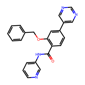 O=C(Nc1cccnc1)c1ccc(-c2cncnc2)cc1OCc1ccccc1